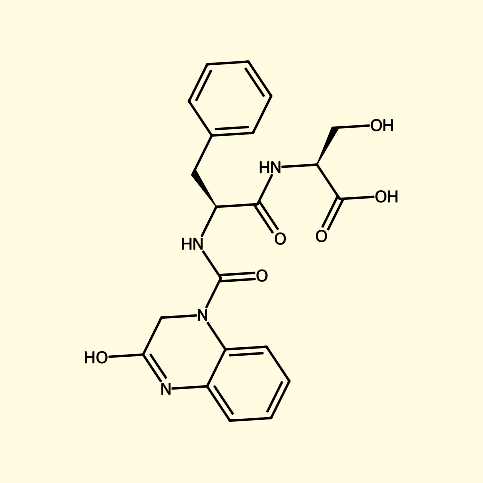 O=C(O)[C@H](CO)NC(=O)[C@H](Cc1ccccc1)NC(=O)N1CC(O)=Nc2ccccc21